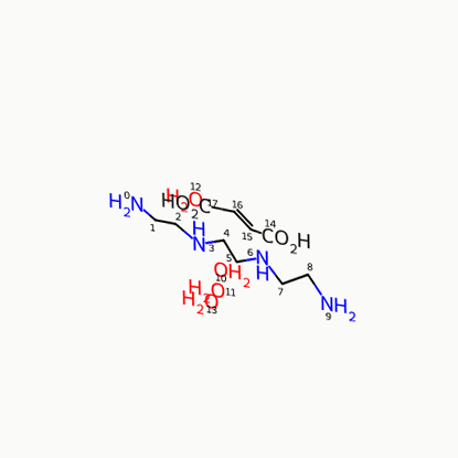 NCCNCCNCCN.O.O.O.O.O=C(O)/C=C/C(=O)O